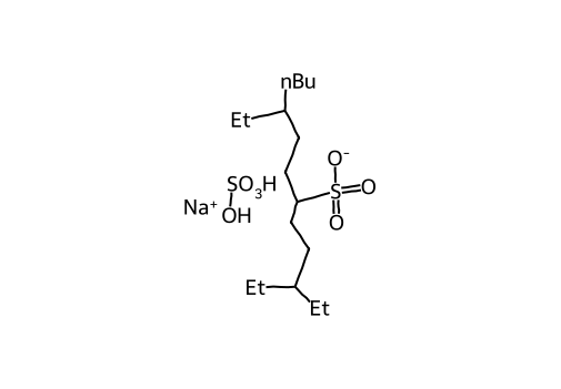 CCCCC(CC)CCC(CCC(CC)CC)S(=O)(=O)[O-].O=S(=O)(O)O.[Na+]